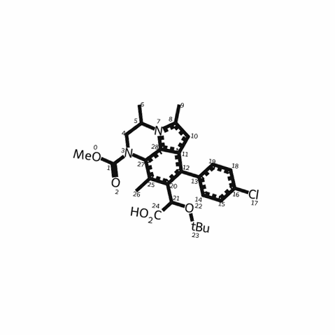 COC(=O)N1CC(C)n2c(C)cc3c(-c4ccc(Cl)cc4)c(C(OC(C)(C)C)C(=O)O)c(C)c1c32